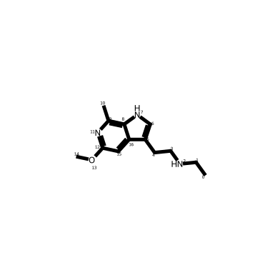 CCNCCc1c[nH]c2c(C)nc(OC)cc12